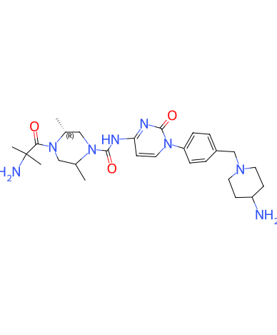 CC1CN(C(=O)C(C)(C)N)[C@H](C)CN1C(=O)Nc1ccn(-c2ccc(CN3CCC(N)CC3)cc2)c(=O)n1